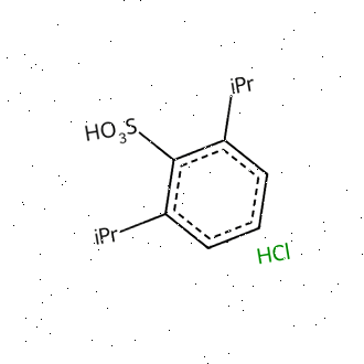 CC(C)c1cccc(C(C)C)c1S(=O)(=O)O.Cl